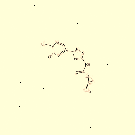 C[C@@H]1C[C@H]1C(=O)Nc1cc(-c2ccc(Cl)c(Cl)c2)ns1